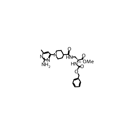 COC(=O)[C@H](CNC(=O)C1CCN(c2cc(C)nc(N)n2)CC1)NC(=O)OCc1ccccc1